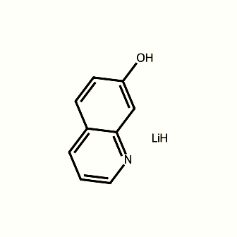 Oc1ccc2cccnc2c1.[LiH]